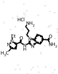 CCn1nc(C)cc1C(=O)Nc1nc2cc(C(N)=O)ccc2n1CCCN.Cl